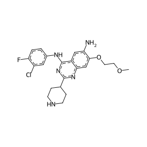 COCCOc1cc2nc(C3CCNCC3)nc(Nc3ccc(F)c(Cl)c3)c2cc1N